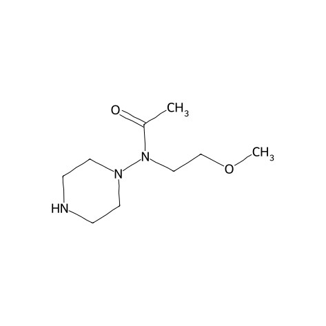 COCCN(C(C)=O)N1CCNCC1